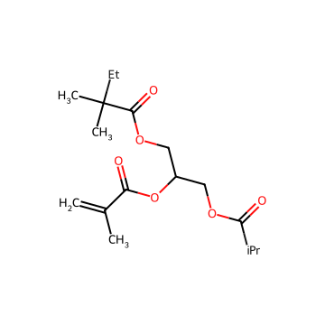 C=C(C)C(=O)OC(COC(=O)C(C)C)COC(=O)C(C)(C)CC